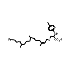 CC(=CCSCC(Nc1ccc(C)cn1)C(=O)O)CCCC(C)CCCC(C)CCCC(C)C